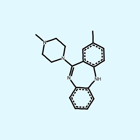 Cc1ccc2c(c1)C(N1CCN(C)CC1)=Nc1ccccc1N2